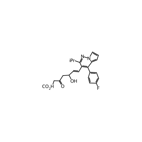 CC(C)c1nn2cccc2c(-c2ccc(F)cc2)c1C=CC(O)CC(=O)CC(=O)O